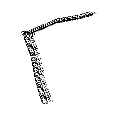 O=S(=O)(O)O.[Ca+2].[Ca+2].[Ca+2].[Ca+2].[Ca+2].[Ca+2].[Ca+2].[Ca+2].[Ca+2].[Ca+2].[Ca+2].[Ca+2].[Ca+2].[Ca+2].[Ca+2].[Ca+2].[Ca+2].[Ca+2].[Ca+2].[Ca+2].[Ca+2].[Ca+2].[Ca+2].[Ca+2].[Ca+2].[Ca+2].[Ca+2].[Ca+2].[Ca+2].[Ca+2].[Ca+2].[Ca+2].[Ca+2].[Ca+2].[Ca+2].[Ca+2].[Ca+2].[Ca+2].[Ca+2].[Ca+2].[Ca+2].[Ca+2].[Ca+2].[Ca+2].[Ca+2].[Ca+2].[Ca+2].[Ca+2].[Ca+2].[Ca+2].[Ca+2].[Ca+2].[Ca+2].[Ca+2].[Ca+2].[Ca+2].[Ca+2]